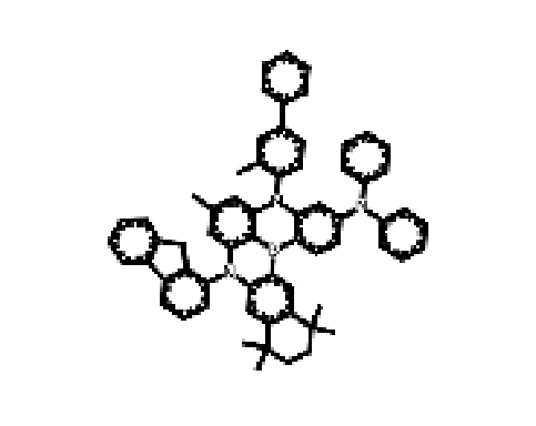 Cc1cc2c3c(c1)N(c1cccc4c1Cc1ccccc1-4)c1cc4c(cc1B3c1ccc(N(c3ccccc3)c3ccccc3)cc1N2c1ccc(-c2ccccc2)cc1C)C(C)(C)CCC4(C)C